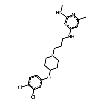 CNc1nc(C)cc(NCCCN2CCC(Oc3ccc(Cl)c(Cl)c3)CC2)n1